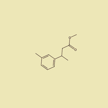 COC(=O)CC(C)c1cccc(C)c1